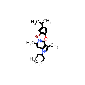 CCC(CC)n1cc(C)c2c(Oc3ccc(C(C)C)cc3Br)nc(C)cc21